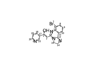 O/C(=C\C1=Nc2c(Br)cccc2C2=NCCN12)c1cccnc1